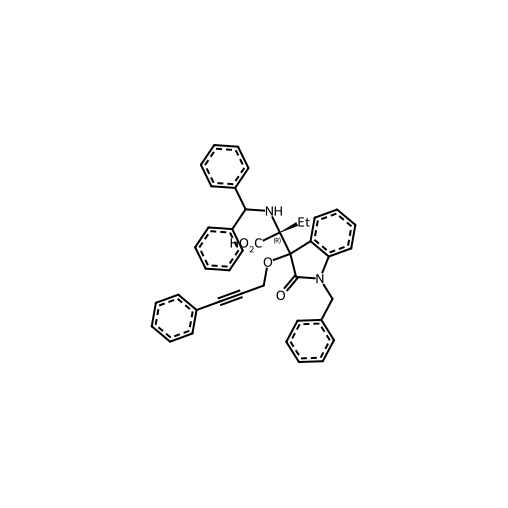 CC[C@](NC(c1ccccc1)c1ccccc1)(C(=O)O)C1(OCC#Cc2ccccc2)C(=O)N(Cc2ccccc2)c2ccccc21